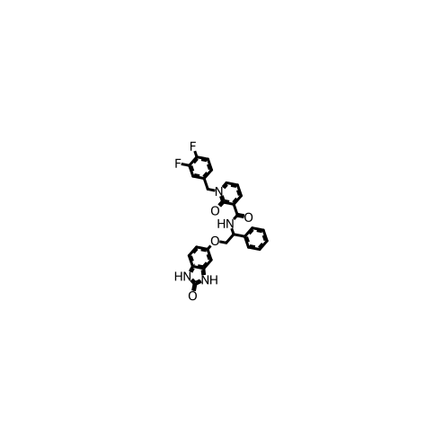 O=C(NC(COc1ccc2[nH]c(=O)[nH]c2c1)c1ccccc1)c1cccn(Cc2ccc(F)c(F)c2)c1=O